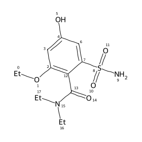 CCOc1cc(O)cc(S(N)(=O)=O)c1C(=O)N(CC)CC